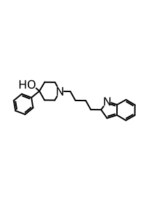 OC1(c2ccccc2)CCN(CCCCC2C=c3ccccc3=N2)CC1